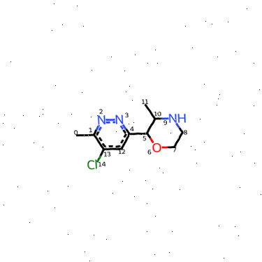 Cc1nnc(C2OCCNC2C)cc1Cl